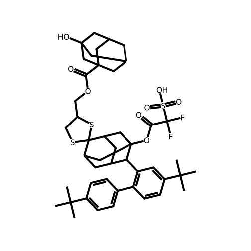 CC(C)(C)c1ccc(-c2ccc(C(C)(C)C)cc2C2C3CC4CC2(OC(=O)C(F)(F)S(=O)(=O)O)CC(C3)C42SCC(COC(=O)C34CC5CC(CC(O)(C5)C3)C4)S2)cc1